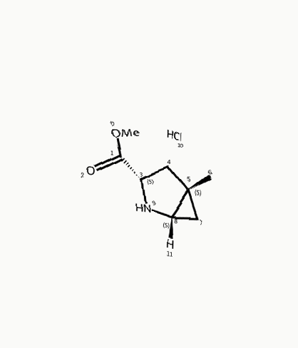 COC(=O)[C@@H]1C[C@]2(C)C[C@@H]2N1.Cl